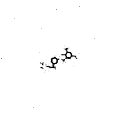 CC(=O)c1cc2c(c(C(F)(F)F)c1)CN(c1cccc([C@@](C)(F)C(F)(F)c3nncn3C)c1)C2=O